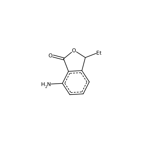 CCC1OC(=O)c2c(N)cccc21